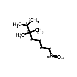 CC(C)C(C)(C)CCCCN=O